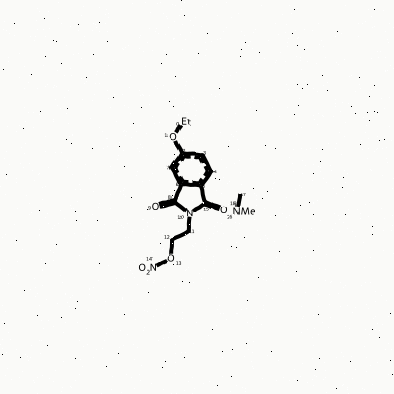 CCOc1ccc2c(c1)C(=O)N(CCO[N+](=O)[O-])C2=O.CNC